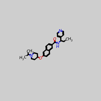 CCC(NC(=O)c1ccc2cc(OC3CCN(C(C)C)CC3)ccc2c1)c1ccncc1